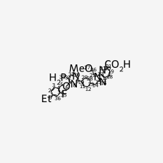 CCc1ccc(COc2nc(C3=CCC(Cc4nc5ccc(C(=O)O)nc5n4CCOC)CC3)ncc2P)c(F)c1